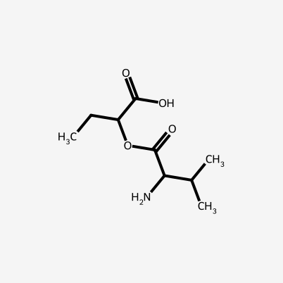 CCC(OC(=O)C(N)C(C)C)C(=O)O